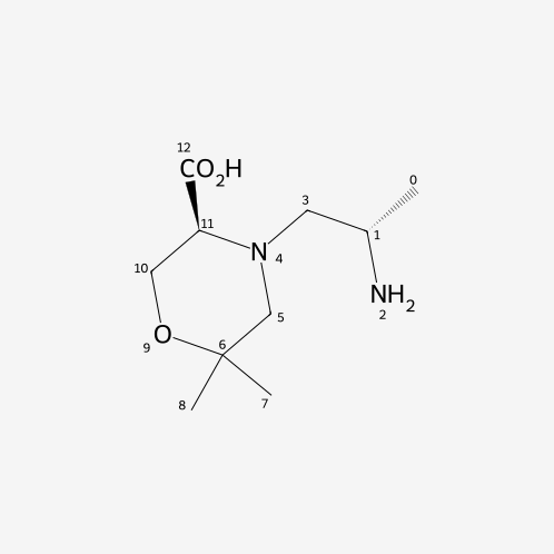 C[C@H](N)CN1CC(C)(C)OC[C@H]1C(=O)O